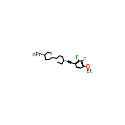 CCC[C@H]1CC[C@H]([C@H]2CC[C@H](C#Cc3ccc(OCC)c(F)c3F)CC2)CC1